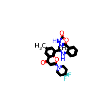 Cc1cc([C@@H](C)Nc2ccccc2-c2n[nH]c(=O)o2)c2oc(N3CCC(F)(F)CC3)cc(=O)c2c1